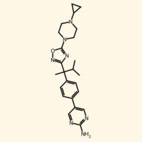 CC(C)C(C)(c1ccc(-c2cnc(N)nc2)cc1)c1noc(N2CCN(C3CC3)CC2)n1